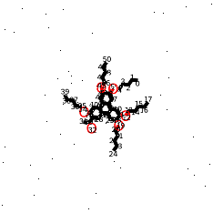 CCCCCOc1cc2c3cc(OCCCCC)c(OCCCCC)cc3c3cc(C(C)=O)c(OCCCCC)cc3c2cc1OCCCCC